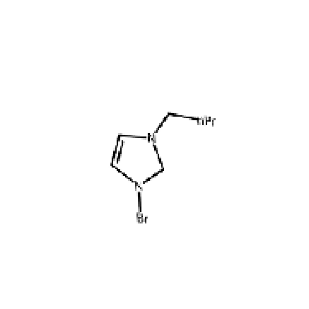 CCCCN1C=CN(Br)C1